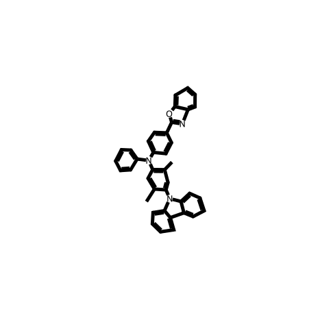 Cc1cc(-n2c3ccccc3c3ccccc32)c(C)cc1N(c1ccccc1)c1ccc(-c2nc3ccccc3o2)cc1